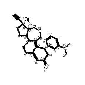 C#C[C@]1(O)CCC2C3CCC4=CC(=O)CCC4=C3[C@@H](c3ccc(N(C)C)cc3)OC[C@@]21C